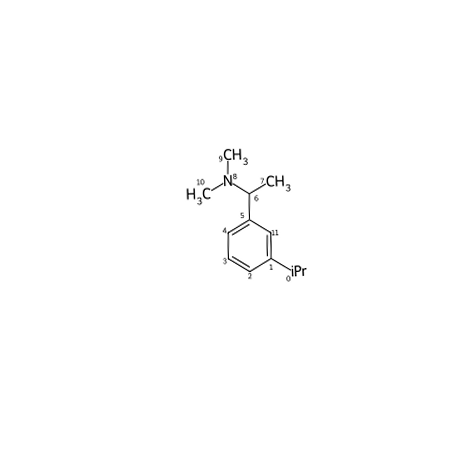 CC(C)c1cccc(C(C)N(C)C)c1